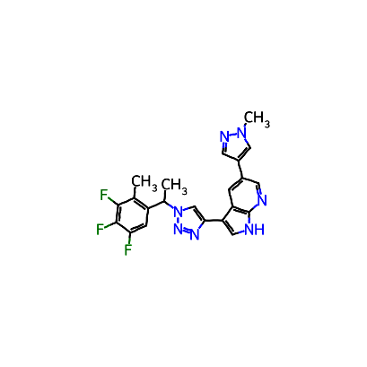 Cc1c(C(C)n2cc(-c3c[nH]c4ncc(-c5cnn(C)c5)cc34)nn2)cc(F)c(F)c1F